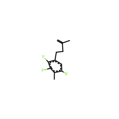 C=C(C)CCc1cc(F)c(C)c(F)c1F